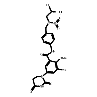 CCC(CN(Cc1ccc(NC(=O)c2cc(N3CCC(=O)NC3=O)cc(C(C)(C)C)c2OC)cc1)[SH](=O)=O)C(=O)O